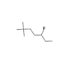 CCC(F)CCC(C)(C)C